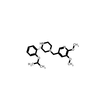 COc1cc(CN2CCN[C@@H](c3ccccc3OC(C)C)C2)cnc1OC